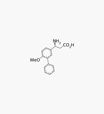 COc1ccc([C@@H](N)CC(=O)O)cc1-c1ccccc1